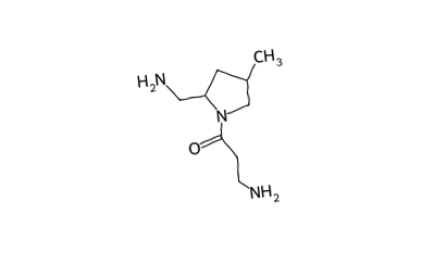 CC1CC(CN)N(C(=O)CCN)C1